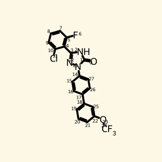 O=c1[nH]c(-c2c(F)cccc2Cl)nn1-c1ccc(-c2cccc(OC(F)(F)F)c2)cc1